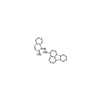 N=C1C=Cc2ccccc2/C1=N/Nc1ccc2c3c(cccc13)-c1ccccc1-2